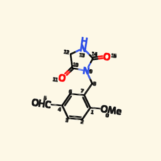 COc1ccc(C=O)cc1CN1C(=O)CNC1=O